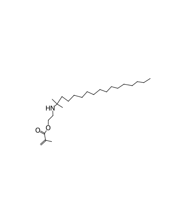 C=C(C)C(=O)OCCNC(C)(C)CCCCCCCCCCCCCCC